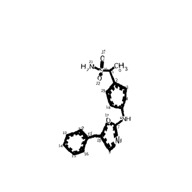 CC(c1ccc(Nc2ncc(-c3ccccc3)o2)cc1)S(N)(=O)=O